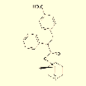 O=C(O)c1ccc(CN(C(=O)O[C@H]2CN3CCC2CC3)c2ccccc2)cc1